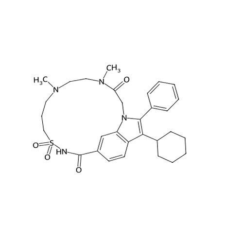 CN1CCCS(=O)(=O)NC(=O)c2ccc3c(C4CCCCC4)c(-c4ccccc4)n(c3c2)CC(=O)N(C)CC1